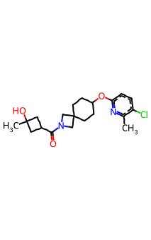 Cc1nc(OC2CCC3(CC2)CN(C(=O)C2CC(C)(O)C2)C3)ccc1Cl